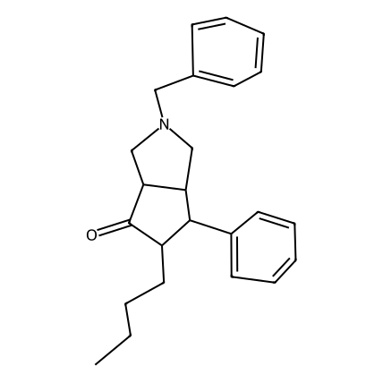 CCCCC1C(=O)C2CN(Cc3ccccc3)CC2C1c1ccccc1